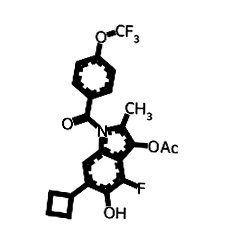 CC(=O)Oc1c(C)n(C(=O)c2ccc(OC(F)(F)F)cc2)c2cc(C3CCC3)c(O)c(F)c12